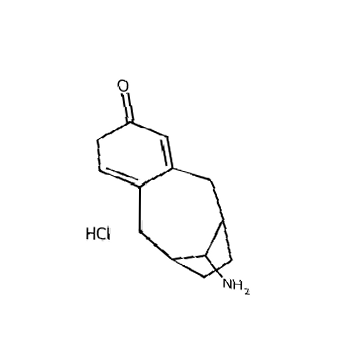 Cl.NC1C2CCC1CC1=CC(=O)CC=C1C2